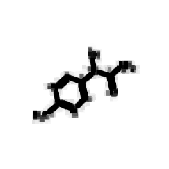 Cc1ncc(N(S)C(N)=O)cn1